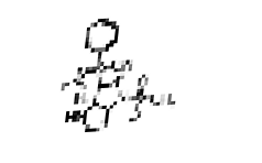 CCC[C@]1(S(=O)(=O)c2ccccc2)C(=O)N(S(C)(=O)=O)C2=CCN[C@H]21